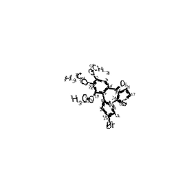 COc1cc(C=O)c(-c2cc(Br)cn2-c2cccs2)c(OC)c1OC